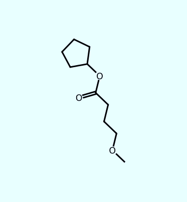 COCCCC(=O)OC1CCCC1